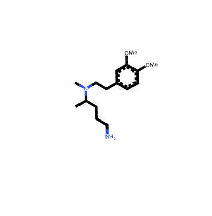 COc1ccc(CCN(C)C(C)CCCN)cc1OC